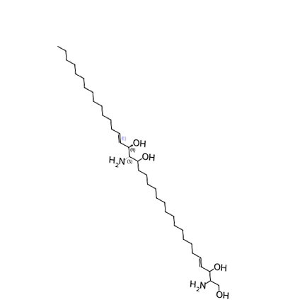 CCCCCCCCCCCCC/C=C/[C@@H](O)[C@@H](N)C(O)CCCCCCCCCCCCCC=CC(O)C(N)CO